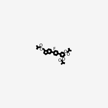 C=C(C)C(=O)OCC1CCc2cc(-c3ccc(-c4cc(OC(=O)C(=C)C)cc(OC(=O)C(=C)C)c4)cc3F)ccc21